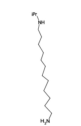 CC(C)NCCCCCCCCCCCCN